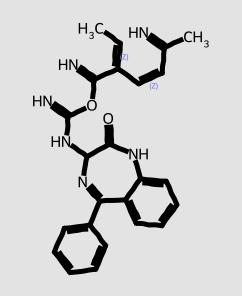 C/C=C(/C=C\C(C)=N)C(=N)OC(=N)NC1N=C(c2ccccc2)c2ccccc2NC1=O